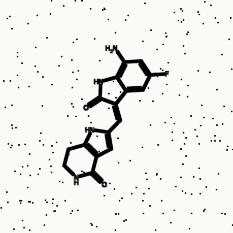 Nc1cc(F)cc2c1NC(=O)C2=Cc1cc2c([nH]1)CCNC2=O